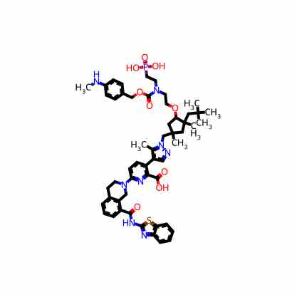 CNc1ccc(COC(=O)N(CCOC2CC(C)(Cn3ncc(-c4ccc(N5CCc6cccc(C(=O)Nc7nc8ccccc8s7)c6C5)nc4C(=O)O)c3C)CC2(C)CC(C)(C)C)CCP(=O)(O)O)cc1